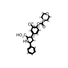 O=C(O)C1NC(c2ccccc2)CC1c1ccc(OC(=O)N2CCOCC2)c(Cl)c1